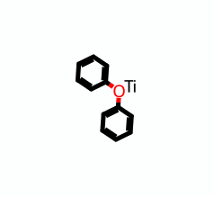 [Ti].c1ccc(Oc2ccccc2)cc1